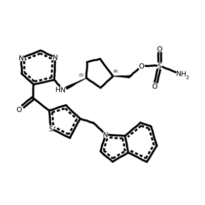 NS(=O)(=O)OC[C@@H]1CC[C@H](Nc2ncncc2C(=O)c2cc(Cn3ccc4ccccc43)cs2)C1